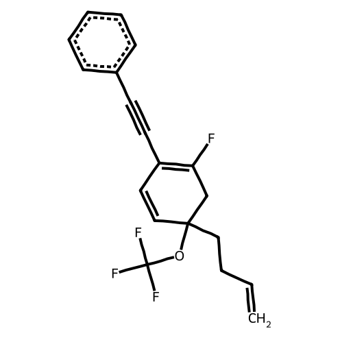 C=CCCC1(OC(F)(F)F)C=CC(C#Cc2ccccc2)=C(F)C1